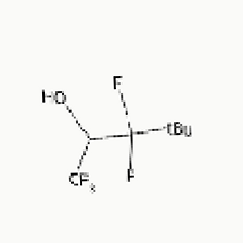 CC(C)(C)C(F)(F)C(O)C(F)(F)F